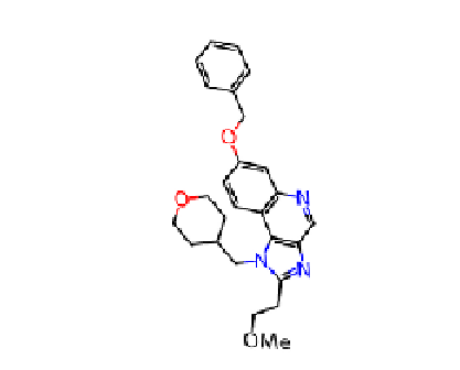 COCCc1nc2cnc3cc(OCc4ccccc4)ccc3c2n1CC1CCOCC1